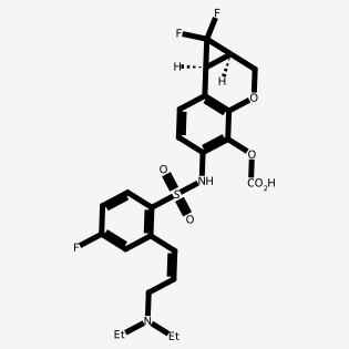 CCN(CC)C/C=C\c1cc(F)ccc1S(=O)(=O)Nc1ccc2c(c1OC(=O)O)OC[C@H]1[C@@H]2C1(F)F